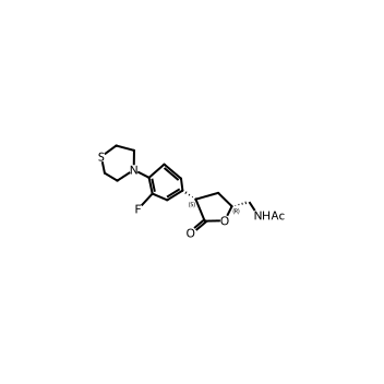 CC(=O)NC[C@H]1C[C@@H](c2ccc(N3CCSCC3)c(F)c2)C(=O)O1